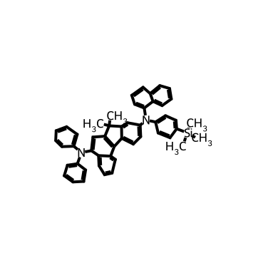 CC1(C)c2cc(N(c3ccc([Si](C)(C)C)cc3)c3cccc4ccccc34)ccc2-c2c1cc(N(c1ccccc1)c1ccccc1)c1ccccc21